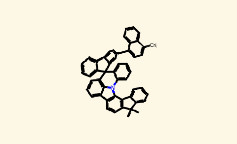 CC1(C)c2ccccc2-c2c1ccc1c3cccc4c3n(c21)-c1ccccc1C41c2ccccc2-c2ccc(-c3ccc(C#N)c4ccccc34)cc21